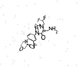 NC[C@@H](C(=O)Nc1ccc(N2CCOCC2=O)c(F)c1)N(CC(F)F)C1CC1